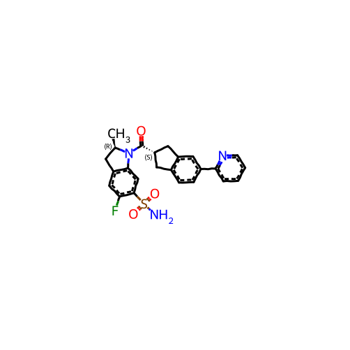 C[C@@H]1Cc2cc(F)c(S(N)(=O)=O)cc2N1C(=O)[C@H]1Cc2ccc(-c3ccccn3)cc2C1